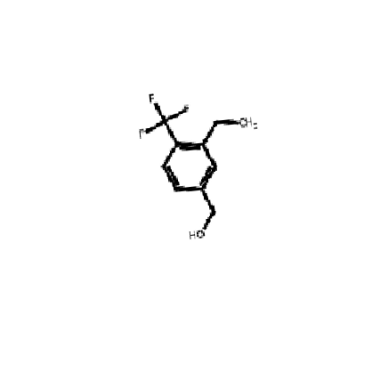 CCc1cc(CO)ccc1C(F)(F)F